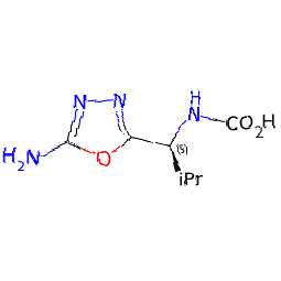 CC(C)[C@H](NC(=O)O)c1nnc(N)o1